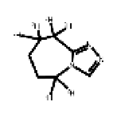 [2H]C1([2H])CCC([2H])([2H])C([2H])([2H])c2nncn21